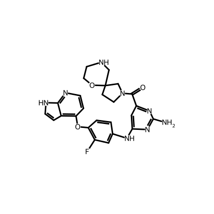 Nc1nc(Nc2ccc(Oc3ccnc4[nH]ccc34)c(F)c2)cc(C(=O)N2CCC3(CNCCO3)C2)n1